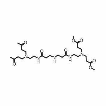 COC(=O)CCN(CCNC(=O)CCNCCC(=O)NCCN(CCC(C)=O)CCC(C)=O)CCC(=O)OC